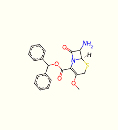 COC1=C(C(=O)OC(c2ccccc2)c2ccccc2)N2C(=O)C(N)[C@H]2SC1